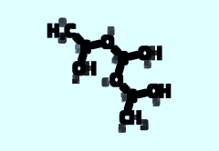 CB(O)OB(O)OB(C)O